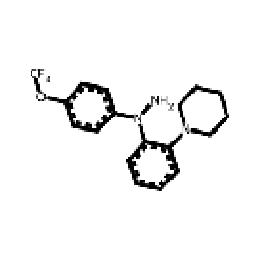 NN(c1ccc(OC(F)(F)F)cc1)c1ccccc1N1CCCCC1